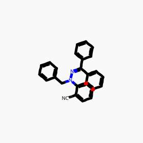 N#Cc1ccccc1N(Cc1ccccc1)N=C(c1ccccc1)c1ccccc1